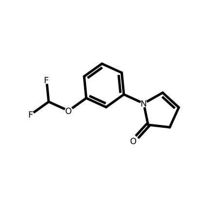 O=C1CC=CN1c1cccc(OC(F)F)c1